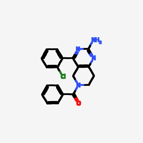 Nc1nc2c(c(-c3ccccc3Cl)n1)CN(C(=O)c1ccccc1)CC2